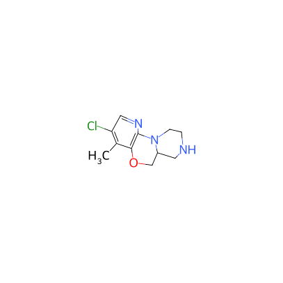 Cc1c(Cl)cnc2c1OCC1CNCCN21